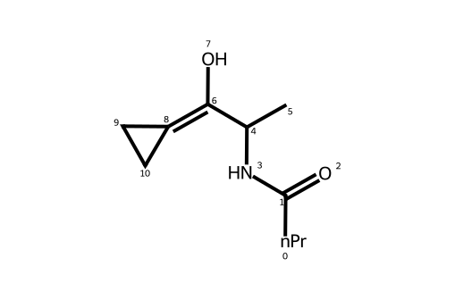 CCCC(=O)NC(C)C(O)=C1CC1